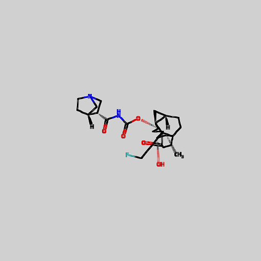 C[C@H]1[C@H](O)C(CF)C[C@@H](OC(=O)NC(=O)[C@H]2CN3CC[C@@H]2C3)[C@]23C[C@@H]2CCC12CCC(=O)C23